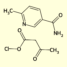 CC(=O)CC(=O)OCl.Cc1ccc(C(N)=O)cn1